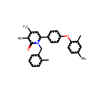 Cc1ccccc1Cn1c(-c2ccc(Oc3ccc(C(C)(C)C)cc3C)cc2)cc(C(F)(F)F)c(C#N)c1=O